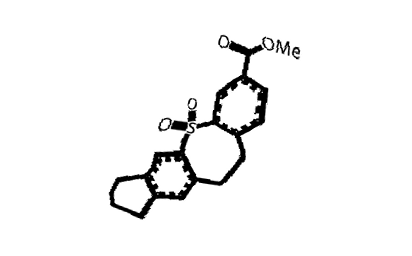 COC(=O)c1ccc2c(c1)S(=O)(=O)c1cc3c(cc1CC2)CCC3